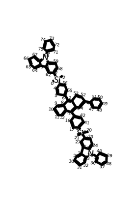 C[Si](C)(c1ccc(-c2c3ccccc3c(-c3ccc([Si](C)(C)c4ccc5c(c4)c4ccccc4n5-c4ccccc4)cc3)c3cc(-c4ccccc4)ccc23)cc1)c1ccc2c(c1)c1ccccc1n2-c1ccccc1